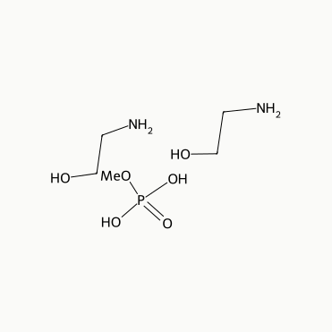 COP(=O)(O)O.NCCO.NCCO